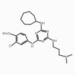 COc1ccc(Nc2nc(NCCCN(C)C)nc(NC3CCCCCC3)n2)cc1Cl